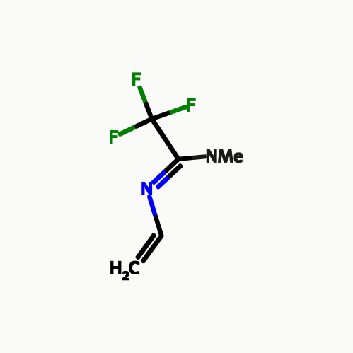 C=C/N=C(\NC)C(F)(F)F